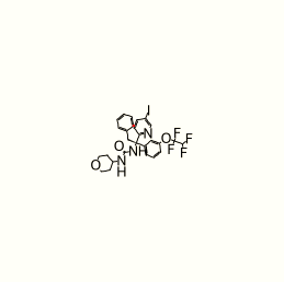 O=C(NC1CCOCC1)N[C@@](Cc1ccccc1)(c1cccc(OC(F)(F)C(F)F)c1)c1ccc(I)cn1